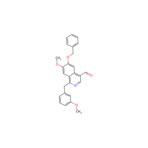 COc1cccc(Cc2ncc(C=O)c3cc(OCc4ccccc4)c(OC)cc23)c1